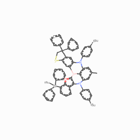 Cc1cc2c3c(c1)N(c1ccc(C(C)(C)C)cc1)c1c(oc4c([Si](c5ccccc5)(c5ccccc5)C(C)(C)C)cccc14)B3c1cc3c(cc1N2c1ccc(C(C)(C)C)cc1)C(c1ccccc1)(c1ccccc1)CS3